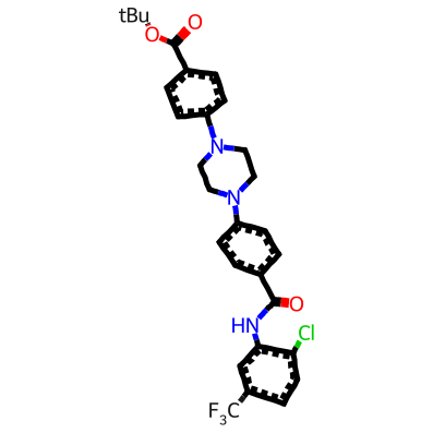 CC(C)(C)OC(=O)c1ccc(N2CCN(c3ccc(C(=O)Nc4cc(C(F)(F)F)ccc4Cl)cc3)CC2)cc1